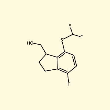 OCC1CCc2c(F)ccc(SC(F)F)c21